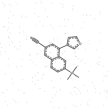 [CH3][Sn]([CH3])([CH3])[c]1ccc2cc(C#N)cc(-c3ccoc3)c2c1